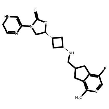 Cc1ncc(F)c2c1CC(CN[C@H]1C[C@@H](C3CN(C4=CNCC=N4)C(=O)O3)C1)C2